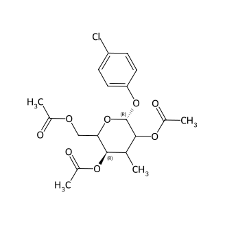 CC(=O)OCC1O[C@H](Oc2ccc(Cl)cc2)C(OC(C)=O)C(C)[C@H]1OC(C)=O